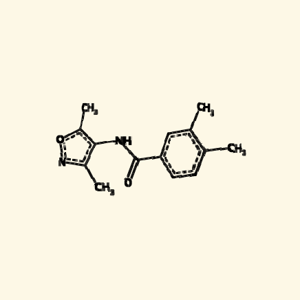 Cc1ccc(C(=O)Nc2c(C)noc2C)cc1C